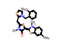 CCn1c(=O)/c(=C2\Sc3cc(SC)ccc3N2C)s/c1=C\c1scc[n+]1Cc1ccccc1OC